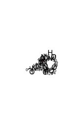 C=CC(=O)N1CCN(c2nc(=O)n3c4nc(c(Cl)cc24)-c2c(F)cccc2OCCCC(=O)Nc2ccnc(C(C)C)c2-3)[C@@H](C)C1